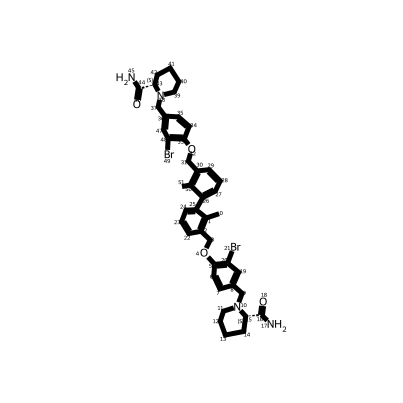 Cc1c(COc2ccc(CN3CCCC[C@H]3C(N)=O)cc2Br)cccc1-c1cccc(COc2ccc(CN3CCCC[C@H]3C(N)=O)cc2Br)c1C